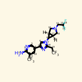 Nc1ncc(-c2cn(C3[C@H]4CN(CC(F)F)C[C@@H]34)c(CC(F)(F)F)n2)cc1C(F)(F)F